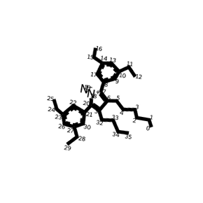 CCCCCCC1=C(c2cc(CC)cc(CC)c2)[N+](=[N-])C(c2cc(CC)cc(CC)c2)=C1CCCC